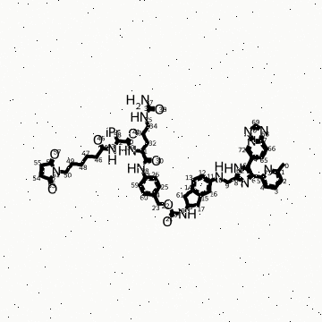 Cc1cccc(-c2nc(CNc3ccc4c(c3)CC(NC(=O)OCc3ccc(NC(=O)C(CCCNC(N)=O)NC(=O)C(NC(=O)CCCCCN5C(=O)C=CC5=O)C(C)C)cc3)C4)[nH]c2-c2ccc3ncnn3c2)n1